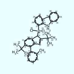 Cc1ccccc1-c1c(C(C)(C)C)ccc2c1C=C(C(C)(C)C)[CH]2[Zr]([Cl])([Cl])[c]1cccc2c1[SiH2]c1ccccc1-2